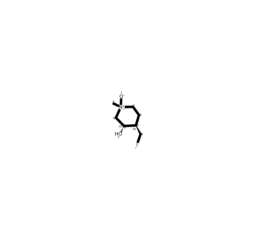 C[N+]1([O-])CC[C@@H](CI)[C@H](O)C1